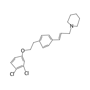 Clc1ccc(OCCc2ccc(/C=C/CN3CCCCC3)cc2)cc1Cl